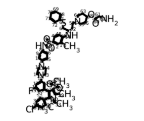 Cc1cc(S(=O)(=O)Nc2ccc(N3CCN(c4cc(F)cc(-c5c(S(C)(=O)=O)c(C)n(C(C)C)c5-c5ccc(Cl)cc5)c4)CC3)cc2)ccc1N[C@H](CCN1CCC(OC(=O)CN)CC1)CSc1ccccc1